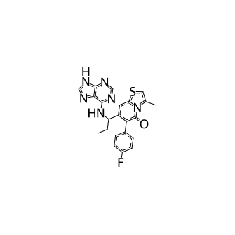 CCC(Nc1ncnc2[nH]cnc12)c1cc2scc(C)n2c(=O)c1-c1ccc(F)cc1